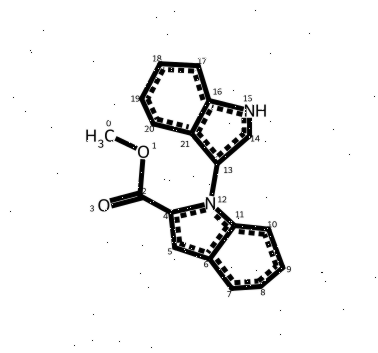 COC(=O)c1cc2ccccc2n1-c1c[nH]c2ccccc12